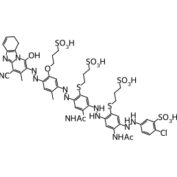 CC(=O)Nc1cc(NNc2cc(SCCCS(=O)(=O)O)c(N=Nc3cc(OCCCS(=O)(=O)O)c(N=Nc4c(C)c(C#N)c5nc6c(n5c4O)CCC=C6)cc3C)cc2NC(C)=O)c(SCCCS(=O)(=O)O)cc1NNc1ccc(Cl)c(S(=O)(=O)O)c1